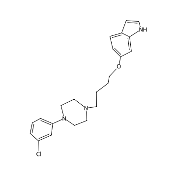 Clc1cccc(N2CCN(CCCCOc3ccc4cc[nH]c4c3)CC2)c1